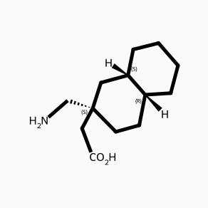 NC[C@@]1(CC(=O)O)CC[C@H]2CCCC[C@H]2C1